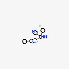 Fc1cccc(-c2[nH]cc(C3=CC4CC(c5ccccc5)CN4CC3)c2-c2ccncc2)c1